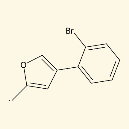 [CH2]c1cc(-c2ccccc2Br)co1